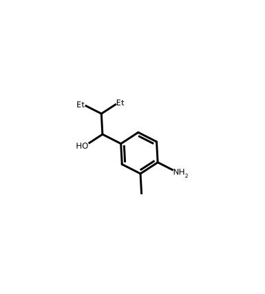 CCC(CC)C(O)c1ccc(N)c(C)c1